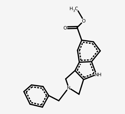 COC(=O)c1ccc2[nH]c3c(c2c1)CN(Cc1ccccc1)C3